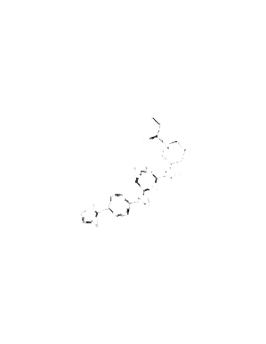 C=CC(=O)N1CCCC(Nc2nncc(Nc3ccc(-c4ncco4)cc3)n2)C1